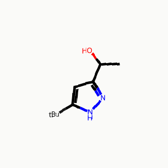 CC(O)c1cc(C(C)(C)C)[nH]n1